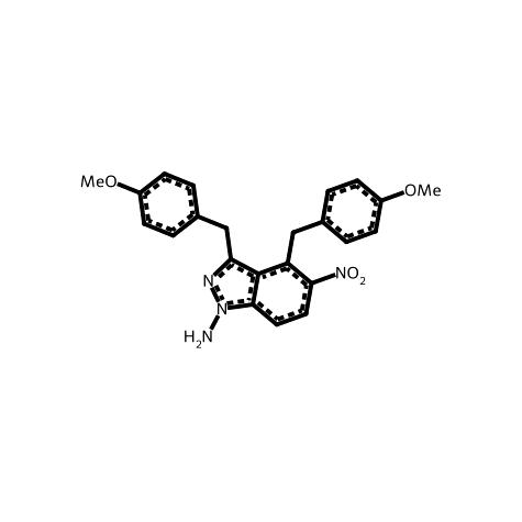 COc1ccc(Cc2nn(N)c3ccc([N+](=O)[O-])c(Cc4ccc(OC)cc4)c23)cc1